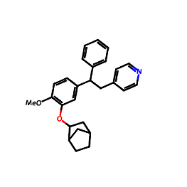 COc1ccc(C(Cc2ccncc2)c2ccccc2)cc1OC1CC2CCC1C2